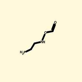 O=CONCCP